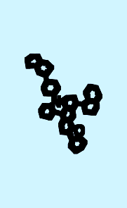 c1ccc(N(c2ccc(-c3ccc4ccccc4c3)cc2)c2ccc(-c3cccc4ccccc34)cc2)c(-c2cccc3c2ccc2c4ccccc4oc32)c1